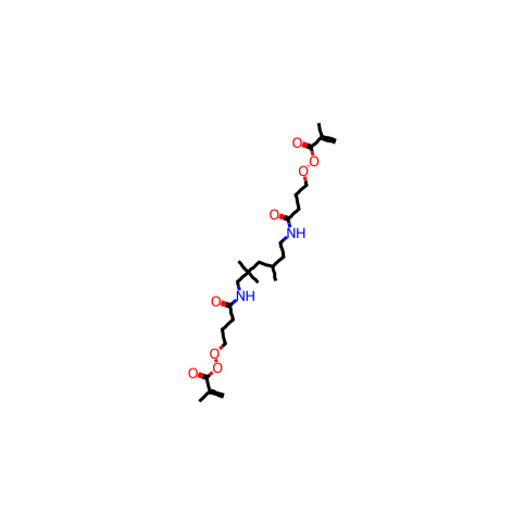 C=C(C)C(=O)OOCCCC(=O)NCCC(C)CC(C)(C)CNC(=O)CCCOOC(=O)C(=C)C